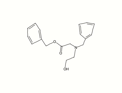 O=C(CN(CCO)Cc1ccccc1)OCc1ccccc1